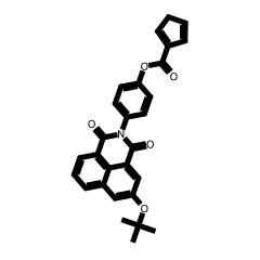 CC(C)(C)Oc1cc2c3c(cccc3c1)C(=O)N(c1ccc(OC(=O)C3=CCC=C3)cc1)C2=O